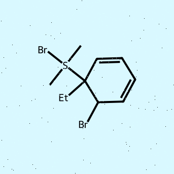 CCC1(S(C)(C)Br)C=CC=CC1Br